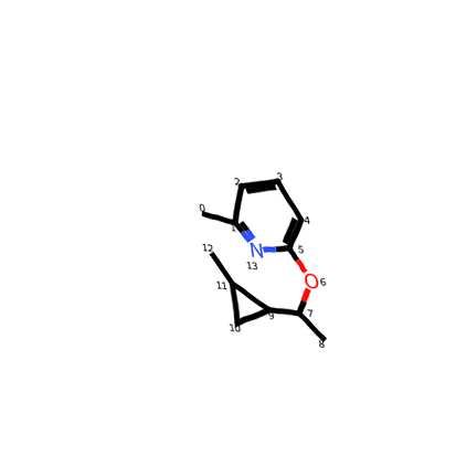 Cc1cccc(OC(C)C2CC2C)n1